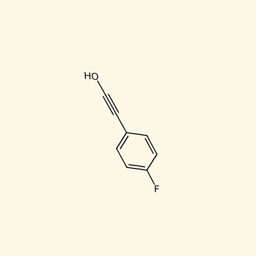 OC#Cc1ccc(F)cc1